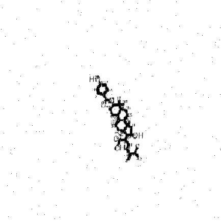 C=C(CCC(C(=O)O)C1C(O)CC2(C)C3=CCC4C(C)(C)[C@@H](OC(=O)c5ccc(O)cc5)CC[C@]4(C)C3=CC[C@]12C)C(C)C